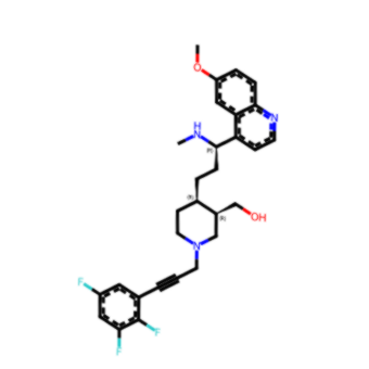 CN[C@H](CC[C@@H]1CCN(CC#Cc2cc(F)cc(F)c2F)C[C@@H]1CO)c1ccnc2ccc(OC)cc12